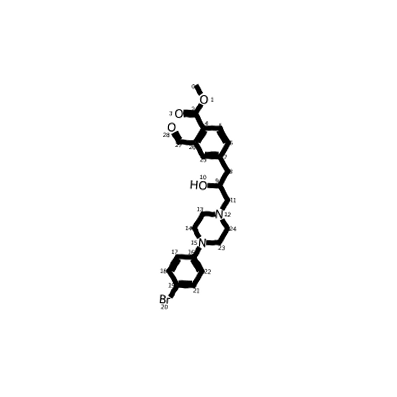 COC(=O)c1ccc(CC(O)CN2CCN(c3ccc(Br)cc3)CC2)cc1C=O